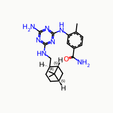 Cc1ccc(C(N)=O)cc1Nc1nc(N)nc(NC[C@@H]2CC[C@H]3C[C@@H]2C3(C)C)n1